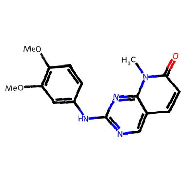 COc1ccc(Nc2ncc3ccc(=O)n(C)c3n2)cc1OC